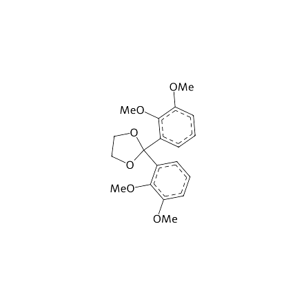 COc1cccc(C2(c3cccc(OC)c3OC)OCCO2)c1OC